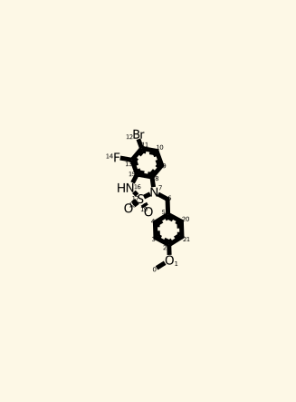 COc1ccc(CN2c3ccc(Br)c(F)c3NS2(=O)=O)cc1